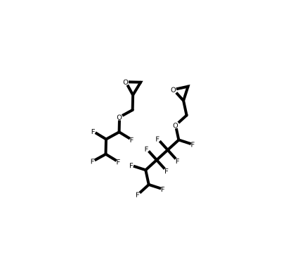 FC(F)C(F)C(F)(F)C(F)(F)C(F)OCC1CO1.FC(F)C(F)C(F)OCC1CO1